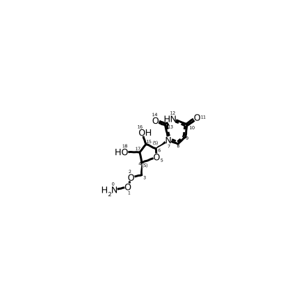 NOOC[C@@H]1O[C@H](n2ccc(=O)[nH]c2=O)C(O)C1O